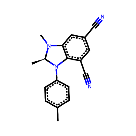 Cc1ccc(N2c3c(C#N)cc(C#N)cc3N(C)[C@@H]2C)cc1